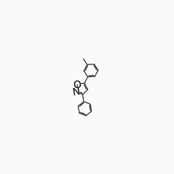 Cc1cccc(-c2cc(-c3ccccc3)no2)c1